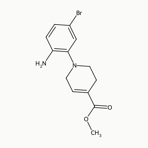 COC(=O)C1=CCN(c2cc(Br)ccc2N)CC1